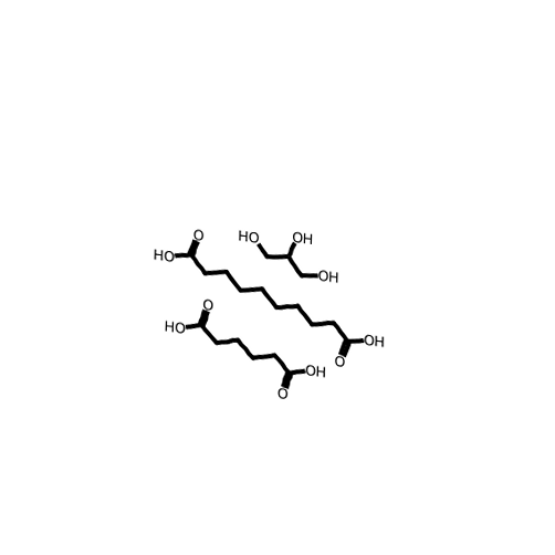 O=C(O)CCCCC(=O)O.O=C(O)CCCCCCCCC(=O)O.OCC(O)CO